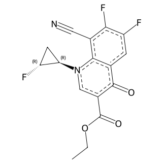 CCOC(=O)c1cn([C@@H]2C[C@H]2F)c2c(C#N)c(F)c(F)cc2c1=O